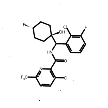 O=C(NC(c1cccc(F)c1Cl)[C@]1(O)CC[C@H](F)CC1)c1nc(C(F)(F)F)ccc1Cl